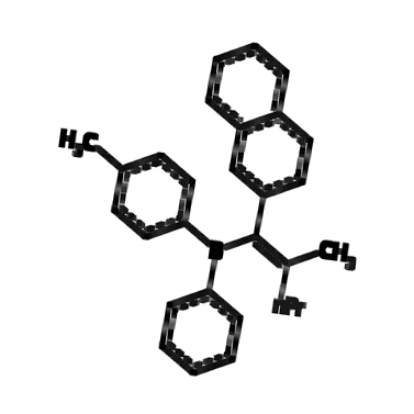 CCC/C(C)=C(\B(c1ccccc1)c1ccc(C)cc1)c1ccc2ccccc2c1